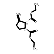 C=C1CC[C@H](C(=O)OCC)[C@H]1C(=O)OCC